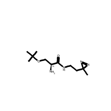 CC1(CCNC(=O)[C@@H](N)COC(C)(C)C)N=N1